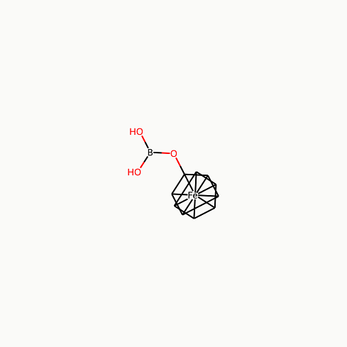 OB(O)O[C]12[CH]3[CH]4[CH]5[CH]1[Fe]45321678[CH]2[CH]1[CH]6[CH]7[CH]28